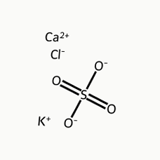 O=S(=O)([O-])[O-].[Ca+2].[Cl-].[K+]